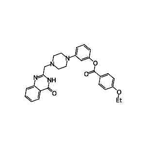 CCOc1ccc(C(=O)Oc2cccc(N3CCN(Cc4nc5ccccc5c(=O)[nH]4)CC3)c2)cc1